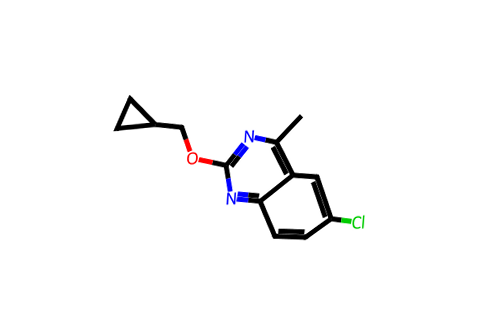 Cc1nc(OCC2CC2)nc2ccc(Cl)cc12